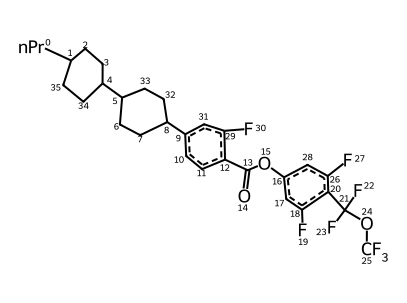 CCCC1CCC(C2CCC(c3ccc(C(=O)Oc4cc(F)c(C(F)(F)OC(F)(F)F)c(F)c4)c(F)c3)CC2)CC1